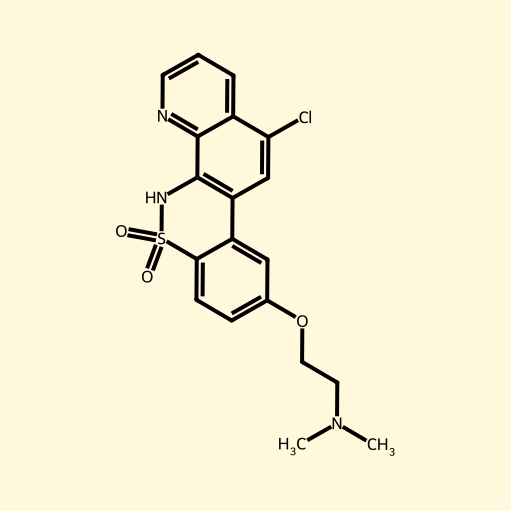 CN(C)CCOc1ccc2c(c1)-c1cc(Cl)c3cccnc3c1NS2(=O)=O